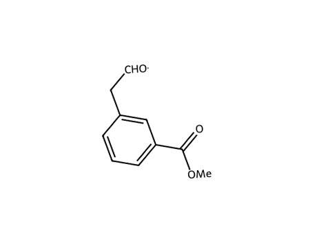 COC(=O)c1cccc(C[C]=O)c1